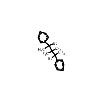 CCC(C)(c1ccccc1)C(C(F)(F)F)(C(F)(F)F)C(C)(CC)c1ccccc1